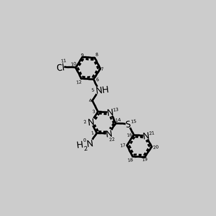 Nc1nc(CNc2cccc(Cl)c2)nc(Sc2ccccn2)n1